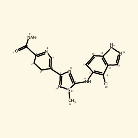 CNC(=O)C1=NC=C(c2nc(Nc3ccc4[nH]ncc4c3Cl)n(C)n2)CC1